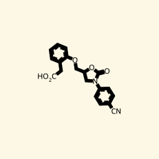 N#Cc1ccc(N2CC(COc3ccccc3CC(=O)O)OC2=O)cc1